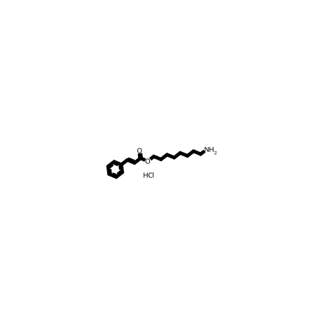 Cl.NCCCCCCCCOC(=O)/C=C/c1ccccc1